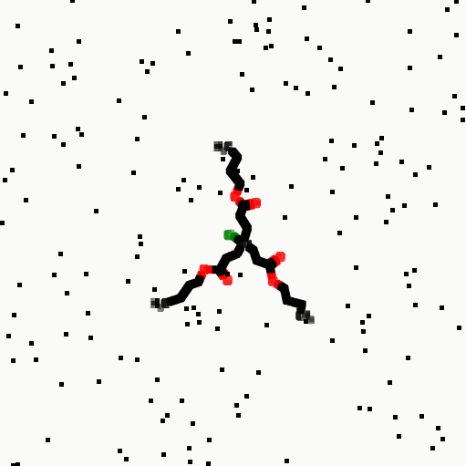 CCCCOC(=O)C[CH2][Sn]([Cl])([CH2]CC(=O)OCCCC)[CH2]CC(=O)OCCCC